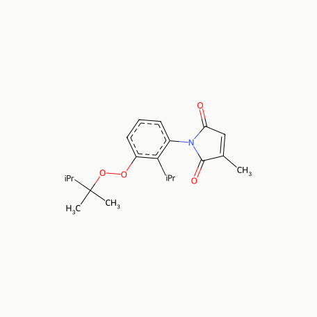 CC1=CC(=O)N(c2cccc(OOC(C)(C)C(C)C)c2C(C)C)C1=O